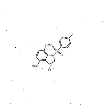 CC[C@H]1CN(S(=O)(=O)c2ccc(C)cc2)c2c(OC)ccc(C=O)c21